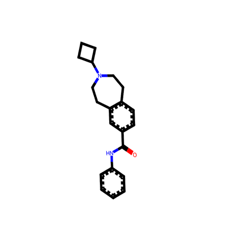 O=C(Nc1ccccc1)c1ccc2c(c1)CCN(C1CCC1)CC2